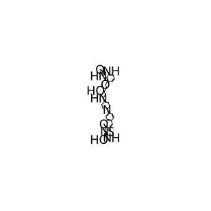 O=C1N=C(NO)SC1=Cc1ccc(N2CCC(NC[C@H](O)COc3cccc4[nH]c(=O)[nH]c34)CC2)cc1